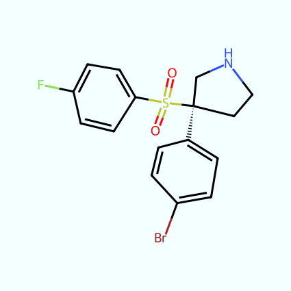 O=S(=O)(c1ccc(F)cc1)[C@]1(c2ccc(Br)cc2)CCNC1